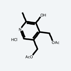 CC(=O)OCc1cnc(C)c(O)c1COC(C)=O.Cl